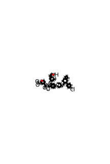 O=C(N[S+]([O-])c1cccc([N+](=O)[O-])c1)c1ccc(N2CCN(CC3=C(c4ccc(Cl)cc4)CC4(CCC4)CC3)CC2)cc1Oc1cnc2[nH]ccc2c1